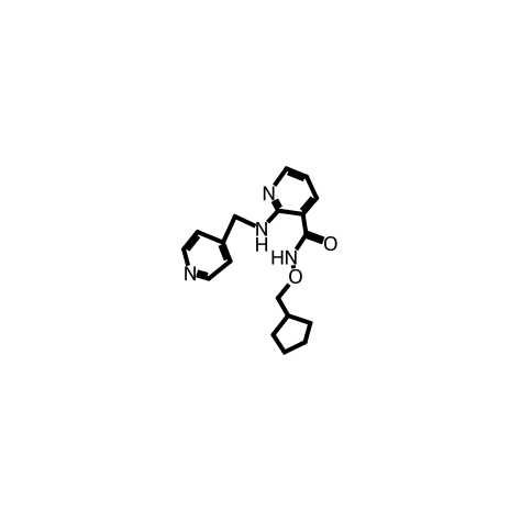 O=C(NOCC1CCCC1)c1cccnc1NCc1ccncc1